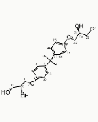 CC(C)(c1ccc(OCC(O)CO)cc1)c1ccc(OC[C@@H](O)CF)cc1